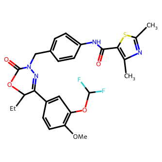 CCC1OC(=O)N(Cc2ccc(NC(=O)c3sc(C)nc3C)cc2)N=C1c1ccc(OC)c(OC(F)F)c1